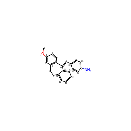 COc1ccc2c(c1)CCc1ccccc1C2=Cc1ccc(N)cc1